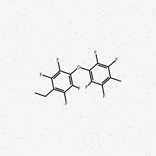 CCc1c(F)c(F)c(Oc2c(F)c(F)c(C)c(F)c2F)c(F)c1F